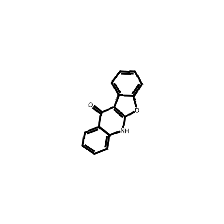 O=c1c2ccccc2[nH]c2oc3ccccc3c12